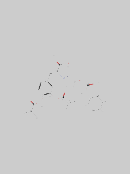 CC(CN[C@@H](Cc1ccc(OC(=O)C(C)C)c(OC(=O)C(C)C)c1)C(=O)O)OC(=O)OC1CCCCC1